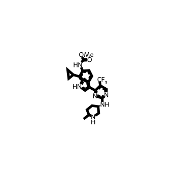 COC(=O)Nc1ccc2c(-c3nc(N[C@H]4CCC(C)NC4)ncc3C(F)(F)F)c[nH]c2c1C1CC1